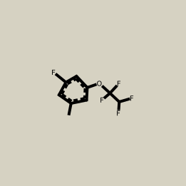 Cc1cc(F)cc(OC(F)(F)C(F)F)c1